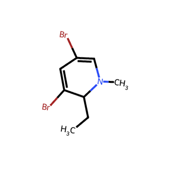 CCC1C(Br)=CC(Br)=CN1C